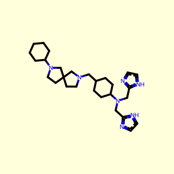 c1c[nH]c(CN(Cc2ncc[nH]2)C2CCC(CN3CCC4(CCN(C5CCCCC5)C4)C3)CC2)n1